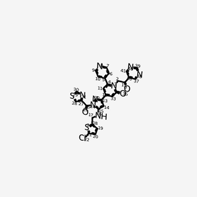 O=C(Cn1c(-c2ccncc2)cc(-c2cc(NCc3ccc(Cl)s3)n(C(=O)c3cscn3)n2)cc1=O)c1cncnc1